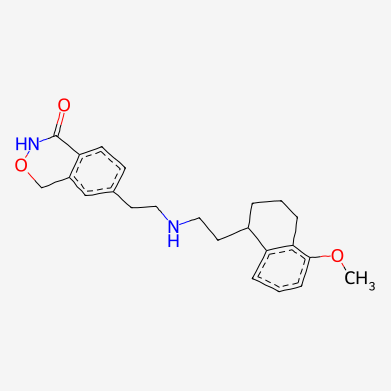 COc1cccc2c1CCCC2CCNCCc1ccc2c(c1)CONC2=O